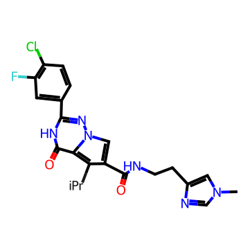 CC(C)c1c(C(=O)NCCc2cn(C)cn2)cn2nc(-c3ccc(Cl)c(F)c3)[nH]c(=O)c12